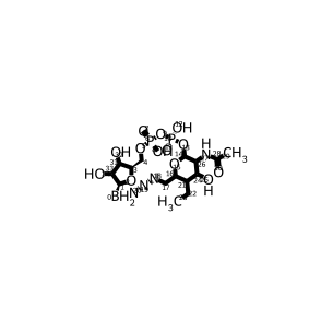 B[C@@H]1O[C@H](COP(=O)(O)OP(=O)(O)OC2OC(CN=[N+]=[N-])C(CC)C(O)C2NC(C)=O)C(O)C1O